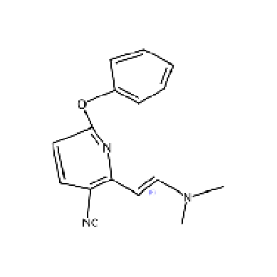 [C-]#[N+]c1ccc(Oc2ccccc2)nc1/C=C/N(C)C